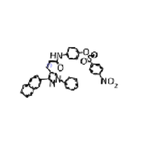 O=C(/C=C\c1cn(-c2ccccc2)nc1-c1ccc2ccccc2c1)Nc1ccc(OS(=O)(=O)c2ccc([N+](=O)[O-])cc2)cc1